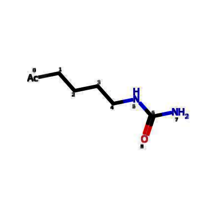 CC(=O)CCCCNC(N)=O